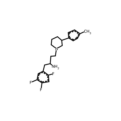 Cc1ccc(C2CCCN(CCC(N)Cc3cc(F)c(F)cc3F)C2)cc1